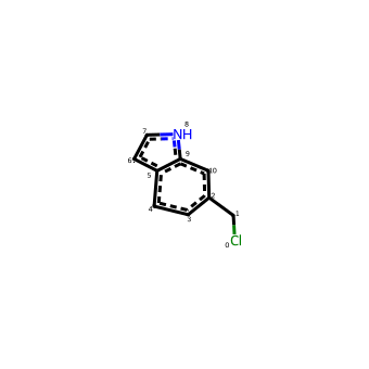 ClCc1ccc2[c]c[nH]c2c1